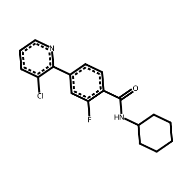 O=C(NC1CCCCC1)c1ccc(-c2ncccc2Cl)cc1F